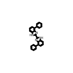 c1ccc(-c2cccc3[nH]c(-c4nc5c(-c6ccccc6)cccc5[nH]4)nc23)cc1